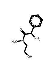 CN(CCO)C(=O)C(N)c1ccccc1